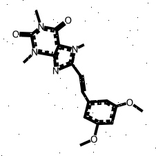 COc1cc(C=Cc2nc3c(c(=O)n(C)c(=O)n3C)n2C)cc(OC)c1